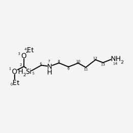 CCOC(OCC)[SiH2]CNCCCCCCN